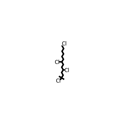 CC(C)(Cl)CCC(Cl)CCC(Cl)CCCCCCCl